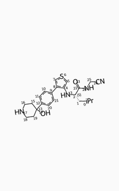 CC(C)C[C@H](Nc1cscc1-c1ccc(C2(O)CCNCC2)cc1)C(=O)NCC#N